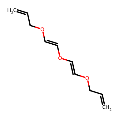 C=CCOC=COC=COCC=C